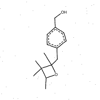 CC1OC(C)(Cc2ccc(CO)cc2)C1(C)C